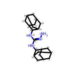 NN=C(NC1C2CC3CC(C2)CC1C3)NC1C2CC3CC(C2)CC1C3